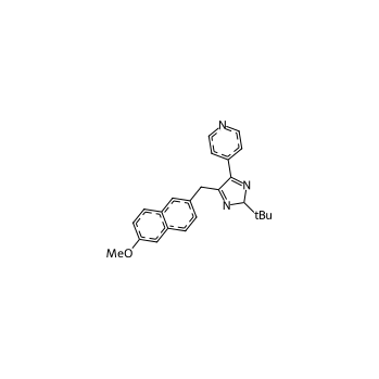 COc1ccc2cc(CC3=NC(C(C)(C)C)N=C3c3ccncc3)ccc2c1